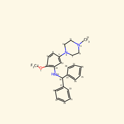 FC(F)(F)Oc1ccc(N2CCN(C(F)(F)F)CC2)cc1NC(c1ccccc1)c1ccccc1